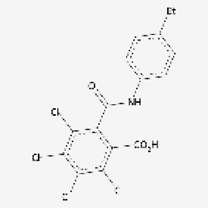 CCc1ccc(NC(=O)c2c(Cl)c(Cl)c(Cl)c(Cl)c2C(=O)O)cc1